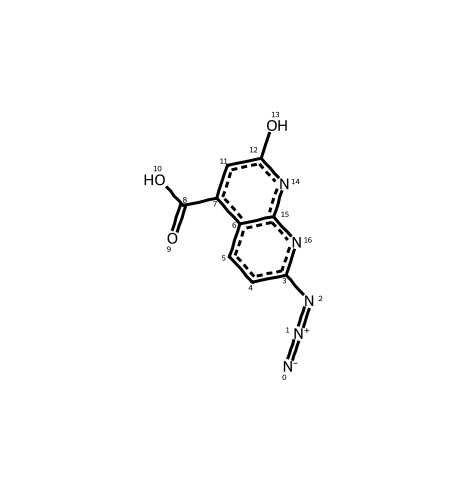 [N-]=[N+]=Nc1ccc2c(C(=O)O)cc(O)nc2n1